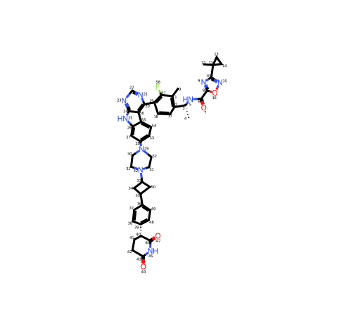 Cc1c([C@@H](C)NC(=O)c2nc(C3(C)CC3)no2)ccc(-c2ncnc3[nH]c4cc(N5CCN(C6CC(c7ccc([C@H]8CCC(=O)NC8=O)cc7)C6)CC5)ccc4c23)c1F